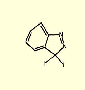 IC1(I)N=Nc2ccccc21